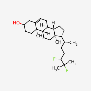 C[C@H](CCC(F)C(C)(C)F)[C@H]1CC[C@H]2[C@@H]3CC=C4CC(O)CC[C@]4(C)[C@H]3CC[C@]12C